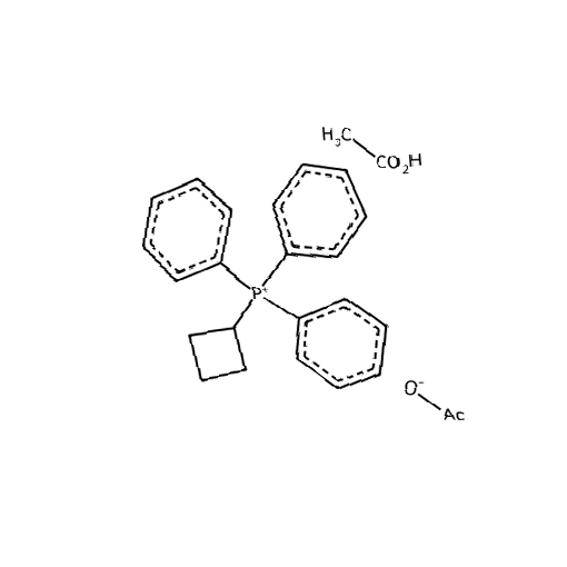 CC(=O)O.CC(=O)[O-].c1ccc([P+](c2ccccc2)(c2ccccc2)C2CCC2)cc1